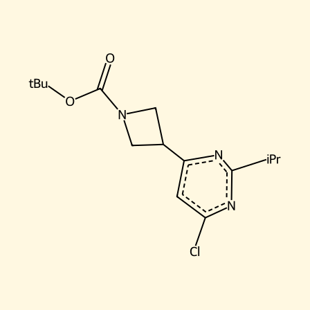 CC(C)c1nc(Cl)cc(C2CN(C(=O)OC(C)(C)C)C2)n1